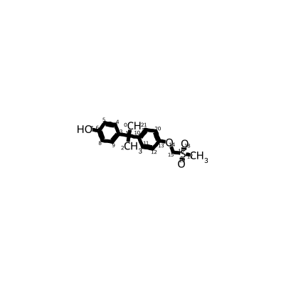 CC(C)(c1ccc(O)cc1)c1ccc(OCS(C)(=O)=O)cc1